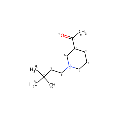 CC(=O)C1CCCN(CCC(C)(C)C)C1